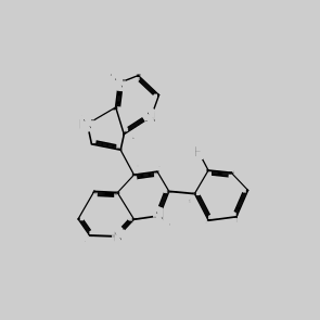 Fc1ccccc1-c1cc(-c2c[nH]c3nccnc23)c2cccnc2n1